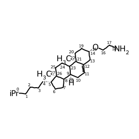 CC(C)CCCC[C@H]1CCC2[C@@H]3CC=C4C[C@@H](OCCN)CC[C@]4(C)C3CC[C@@]21C